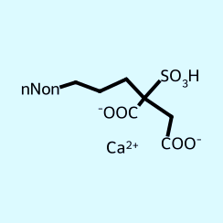 CCCCCCCCCCCCC(CC(=O)[O-])(C(=O)[O-])S(=O)(=O)O.[Ca+2]